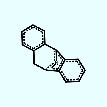 c1ccc2c(c1)Cc1[nH]c-2c2ccccc12